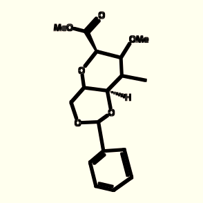 COC(=O)[C@@H]1OC2COC(c3ccccc3)O[C@@H]2C(C)C1OC